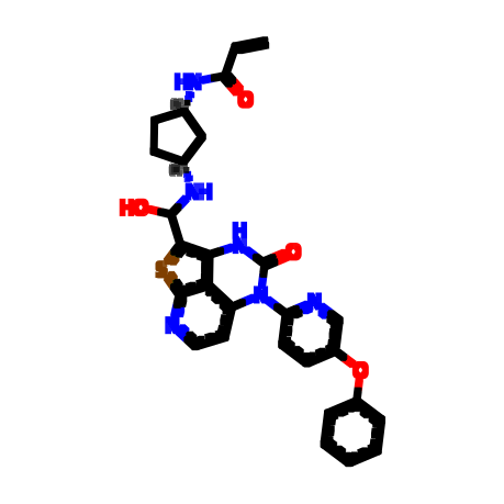 C=CC(=O)N[C@H]1CC[C@@H](NC(O)c2sc3nccc4c3c2NC(=O)N4c2ccc(Oc3ccccc3)cn2)C1